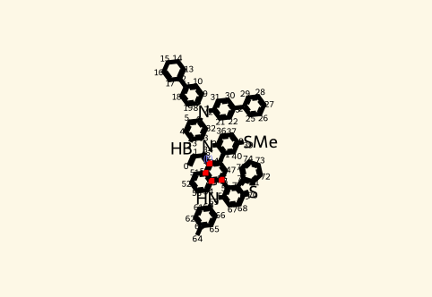 C=C1Bc2ccc(N(c3ccc(C4=CCCC=C4)cc3)c3ccc(-c4ccccc4)cc3)cc2N(c2ccc(SC)cc2-c2ccccc2)/C1=C/c1ccccc1Cc1c(Nc2ccc(C)cc2)ccc2sc3ccccc3c12